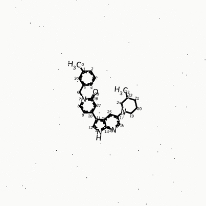 Cc1cccc(Cn2ccc(-c3c[nH]c4ncc(N5CCCC(C)C5)cc34)cc2=O)c1